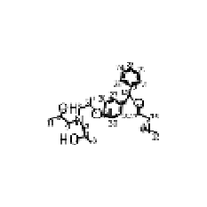 CC(O)CN(CC(C)O)CC(C)O.CN(C)CCOC(c1ccccc1)c1ccccc1